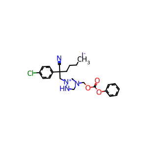 CCCCC(C#N)(C[N+]1=CN(COC(=O)Oc2ccccc2)CN1)c1ccc(Cl)cc1.[I-]